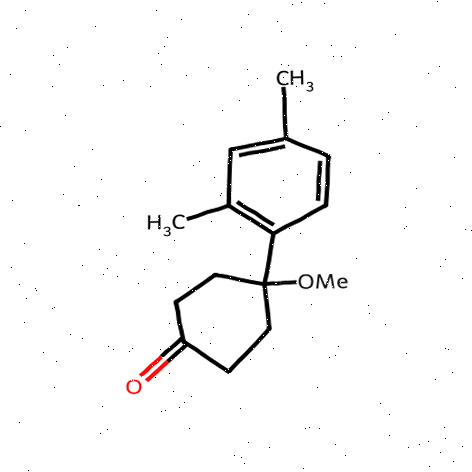 COC1(c2ccc(C)cc2C)CCC(=O)CC1